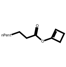 CCCCCCCC(=O)OC1=CCC1